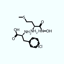 CSCC[C@H](N)C(=O)NO.Cl.N[C@@H](Cc1ccccc1)C(=O)O